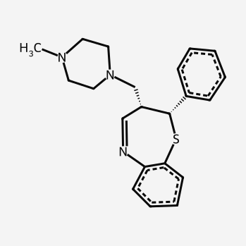 CN1CCN(C[C@H]2C=Nc3ccccc3S[C@H]2c2ccccc2)CC1